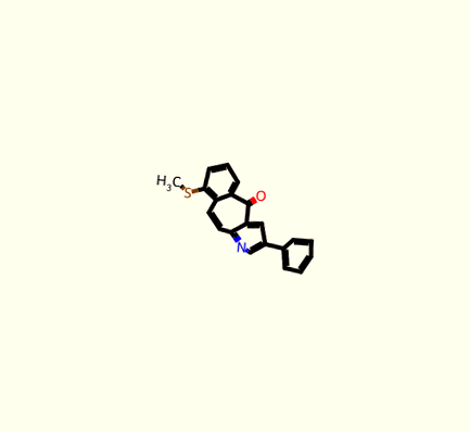 CSc1cccc2c(=O)c3cc(-c4ccccc4)cnc3ccc12